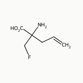 C=CCC(N)(CF)C(=O)O